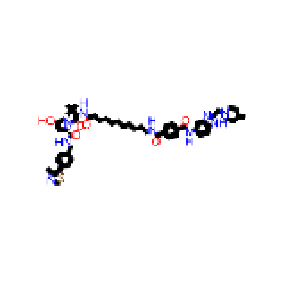 Cc1ncsc1-c1ccc(CNC(=O)[C@@H]2C[C@@H](O)CN2C(=O)[C@@H](NC(=O)CCCCCCCCCCNC(=O)c2ccc(C(=O)Nc3ccc4[nH]c(CN5CCC(C)CC5)nc4c3)cc2)C(C)(C)C)cc1